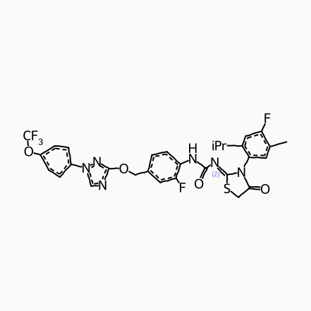 Cc1cc(N2C(=O)CS/C2=N\C(=O)Nc2ccc(COc3ncn(-c4ccc(OC(F)(F)F)cc4)n3)cc2F)c(C(C)C)cc1F